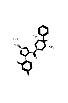 CCCCN1C[C@@H](C(=O)N2C[C@@H](C)C(O)(c3ccccc3)[C@@H](C)C2)[C@H](c2ccc(F)cc2F)C1.Cl